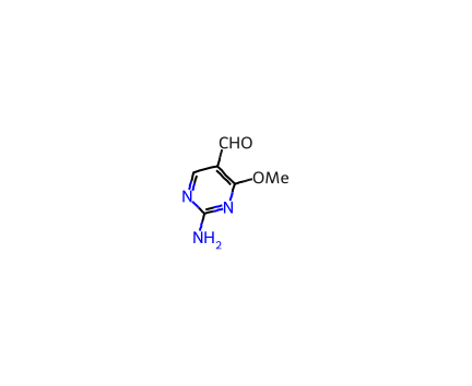 COc1nc(N)ncc1C=O